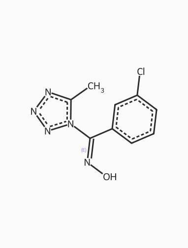 Cc1nnnn1/C(=N/O)c1cccc(Cl)c1